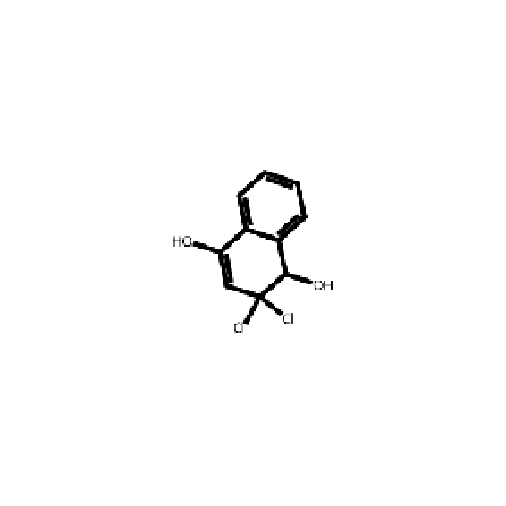 OC1=CC(Cl)(Cl)C(O)c2ccccc21